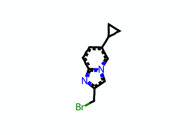 BrCc1cn2cc(C3CC3)ccc2n1